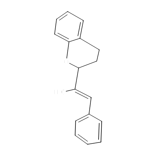 CC(=Cc1ccccc1)C1CCc2ccccc2O1